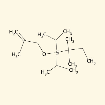 C=C(C)CO[Si](C(C)C)(C(C)C)C(C)(C)CC